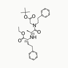 CCOC(=O)[C@H](CCc1ccccc1)N[C@@H](C)C(=O)N(CCc1ccccc1)CC(=O)OC(C)(C)C